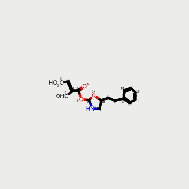 O=C/C(=C\C(=O)O)C(=O)OC1NCC(CCc2ccccc2)O1